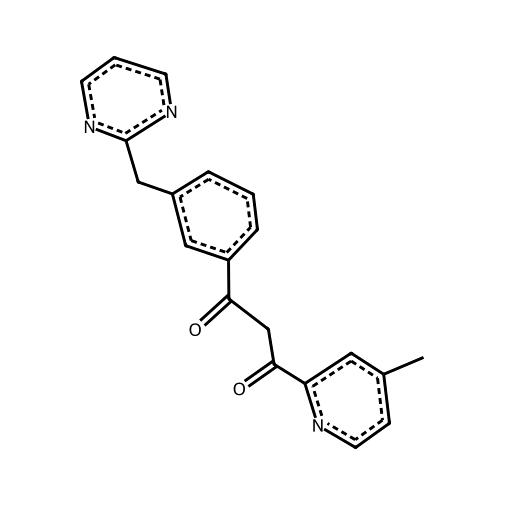 Cc1ccnc(C(=O)CC(=O)c2cccc(Cc3ncccn3)c2)c1